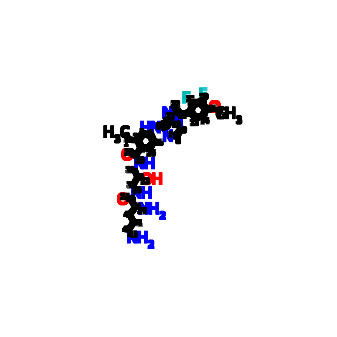 CCc1cc(Nc2nccn3c(-c4ccc(OC)c(F)c4F)cnc23)ccc1C(=O)NCC(O)CNC(=O)[C@@H](N)CCCN